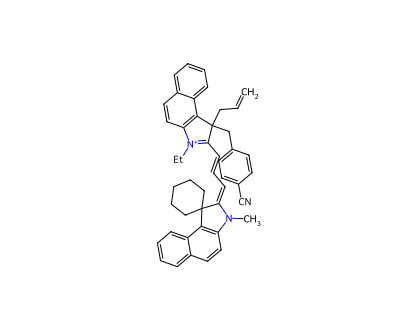 C=CCC1(Cc2ccc(C#N)cc2)C(/C=C/C=C2/N(C)c3ccc4ccccc4c3C23CCCCC3)=[N+](CC)c2ccc3ccccc3c21